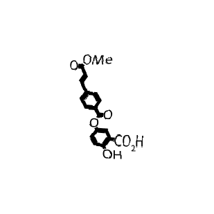 COC(=O)/C=C/c1ccc(C(=O)Oc2ccc(O)c(C(=O)O)c2)cc1